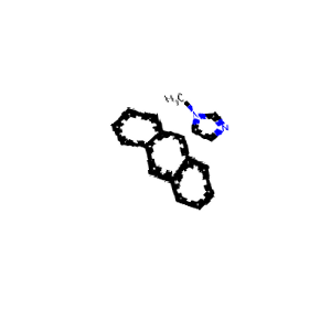 Cn1ccnc1.c1ccc2cc3ccccc3cc2c1